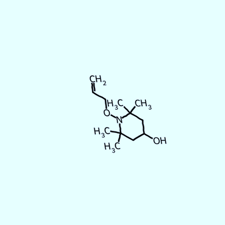 C=CCON1C(C)(C)CC(O)CC1(C)C